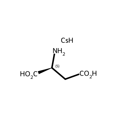 N[C@@H](CC(=O)O)C(=O)O.[CsH]